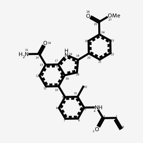 C=CC(=O)Nc1cccc(-c2ccc(C(N)=O)c3[nH]c(-c4cccc(C(=O)OC)c4)cc23)c1C